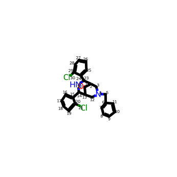 O=C1C2CN(Cc3ccccc3)CC1C(c1ccccc1Cl)NC2c1ccccc1Cl